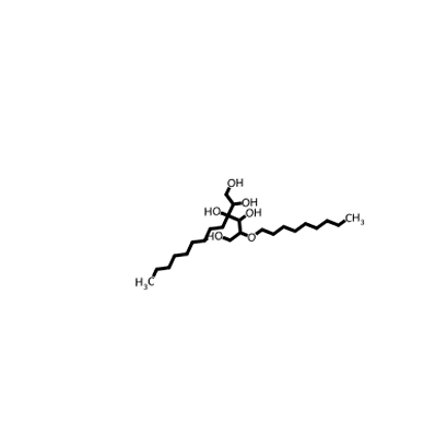 CCCCCCCCCOC(CO)C(O)C(O)(CCCCCCCCC)C(O)CO